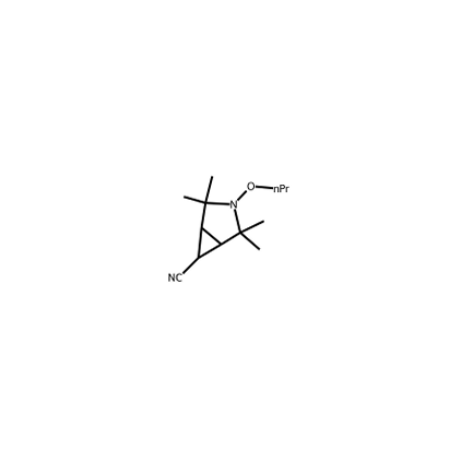 CCCON1C(C)(C)C2C(C#N)C2C1(C)C